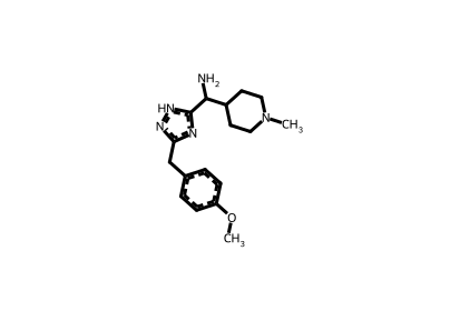 COc1ccc(Cc2n[nH]c(C(N)C3CCN(C)CC3)n2)cc1